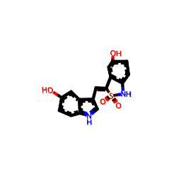 O=S1(=O)Nc2ccc(O)cc2C1=Cc1c[nH]c2ccc(O)cc12